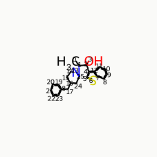 CC(C(O)c1csc2ccccc12)N1CCC(Cc2ccccc2)CC1